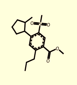 CCCc1cc(C2CCCC2C)c(S(C)(=O)=O)cc1C(=O)OC